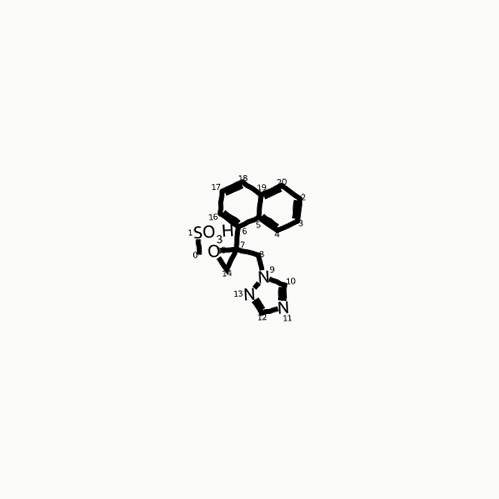 CS(=O)(=O)O.c1ccc2c(C3(Cn4cncn4)CO3)cccc2c1